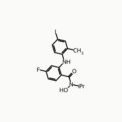 Cc1cc(I)ccc1Nc1cc(F)ccc1C(=O)N(O)C(C)C